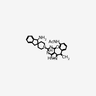 C=C(c1cccc(NC(C)=O)c1)c1n[nH]c2nc(N3CCC4(CC3)Cc3ccccc3[C@H]4N)[nH]c(=O)c12